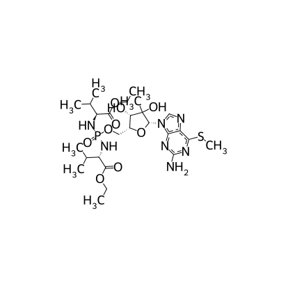 CCOC(=O)[C@@H](NP(=O)(N[C@H](C(=O)OCC)C(C)C)OC[C@H]1O[C@@H](n2cnc3c(SC)nc(N)nc32)C(C)(O)[C@H]1O)C(C)C